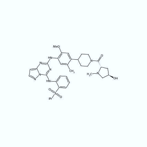 COc1cc(C2CCN(C(=O)[C@@H]3C[C@@H](O)CN3C)CC2)c(C)cc1Nc1nc(Nc2ccccc2S(=O)(=O)C(C)C)n2nccc2n1